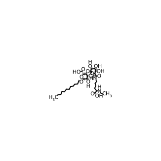 CCCCCCCCCCCCO[C@@H]1O[C@H](C(=O)O)[C@@H](O[C@@H]2O[C@H](C(=O)NCCCCC(NCC)C(=O)O)[C@@H](O)[C@H](O)[C@H]2O)[C@H](O)[C@H]1O